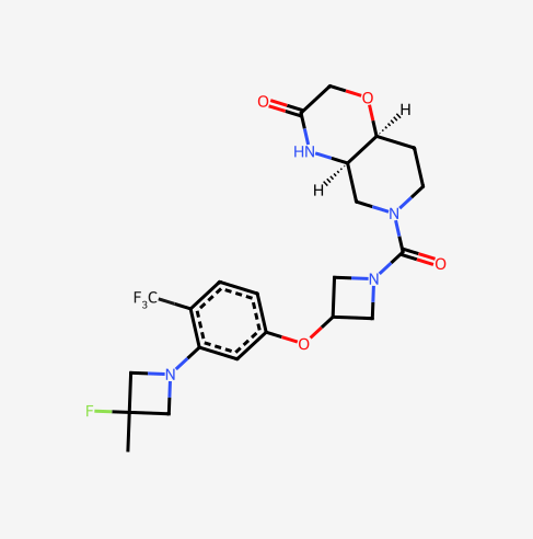 CC1(F)CN(c2cc(OC3CN(C(=O)N4CC[C@@H]5OCC(=O)N[C@@H]5C4)C3)ccc2C(F)(F)F)C1